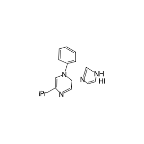 CC(C)C1=CN(c2ccccc2)CC=N1.I.c1c[nH]cn1